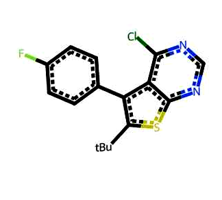 CC(C)(C)c1sc2ncnc(Cl)c2c1-c1ccc(F)cc1